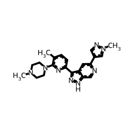 Cc1ccc(-c2n[nH]c3cnc(-c4cnn(C)c4)cc23)nc1N1CCN(C)CC1